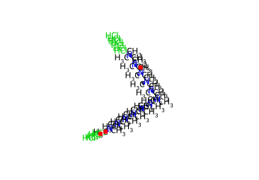 CN(C)C.CN(C)C.CN(C)C.CN(C)C.CN(C)C.CN(C)C.CN(C)C.CN(C)C.CN(C)C.CN(C)C.CN(C)C.CN(C)C.Cl.Cl.Cl.Cl.Cl.Cl.Cl.Cl.Cl.Cl.Cl.Cl